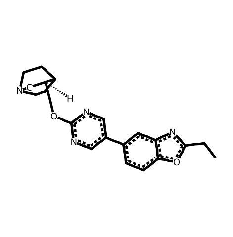 CCc1nc2cc(-c3cnc(O[C@H]4CN5CCC4CC5)nc3)ccc2o1